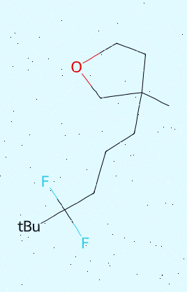 CC1(CCCC(F)(F)C(C)(C)C)CCOC1